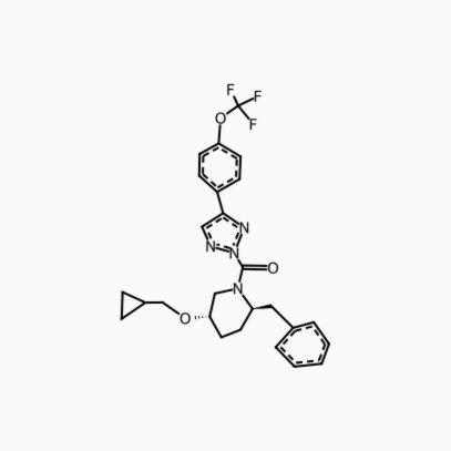 O=C(N1C[C@@H](OCC2CC2)CC[C@@H]1Cc1ccccc1)n1ncc(-c2ccc(OC(F)(F)F)cc2)n1